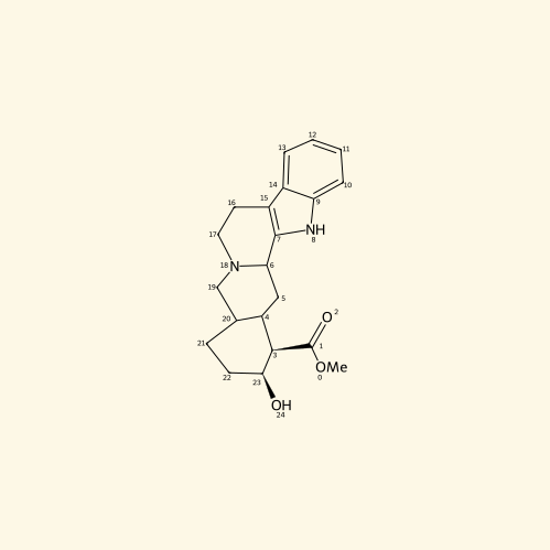 COC(=O)[C@@H]1C2CC3c4[nH]c5ccccc5c4CCN3CC2CC[C@@H]1O